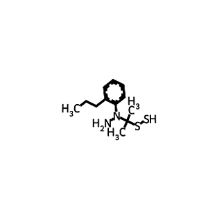 CCCc1ccccc1N(N)C(C)(C)SS